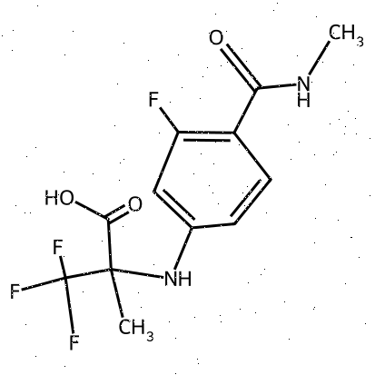 CNC(=O)c1ccc(NC(C)(C(=O)O)C(F)(F)F)cc1F